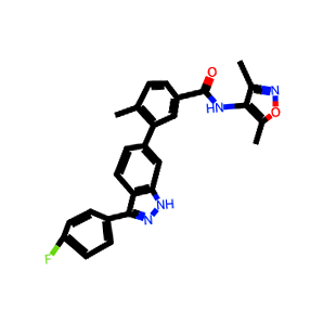 Cc1ccc(C(=O)Nc2c(C)noc2C)cc1-c1ccc2c(-c3ccc(F)cc3)n[nH]c2c1